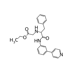 CCOC(=O)CNC(Cc1ccccc1)C(=O)Nc1cccc(-c2ccncc2)c1